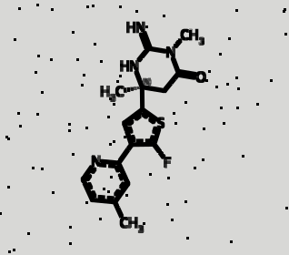 Cc1ccnc(-c2cc([C@]3(C)CC(=O)N(C)C(=N)N3)sc2F)c1